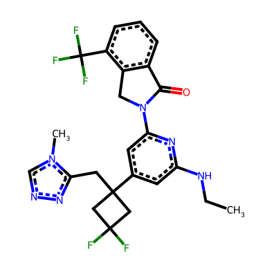 CCNc1cc(C2(Cc3nncn3C)CC(F)(F)C2)cc(N2Cc3c(cccc3C(F)(F)F)C2=O)n1